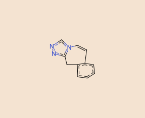 C1=Cn2cnnc2Cc2ccccc21